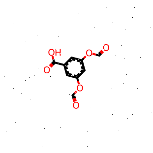 O=COc1cc(OC=O)cc(C(=O)O)c1